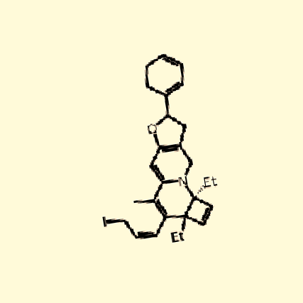 CCC12C=C[C@]1(CC)N1CC3=C(C=C1C(C)=C2/C=C\CI)OC(C1=CC=CCC1)C3